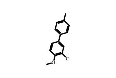 COc1ccc(-c2ccc(C)cc2)cc1Cl